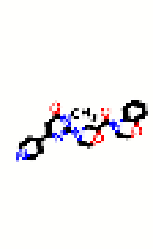 Cn1c(N2CCOC(C(=O)N3CCOc4ccccc43)C2)nc(-c2ccncc2)cc1=O